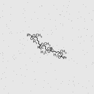 CC(C)C(=O)OC(C)(C)CCCCC(=O)OC(C)(C)CCC(C)(C)OC(=O)CCCCC(C)(C)OC(=O)C(C)C